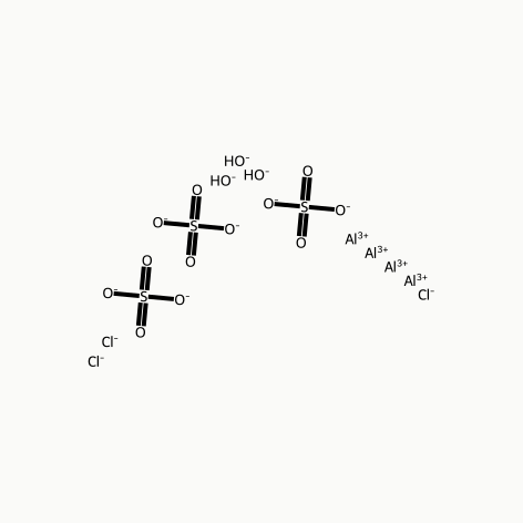 O=S(=O)([O-])[O-].O=S(=O)([O-])[O-].O=S(=O)([O-])[O-].[Al+3].[Al+3].[Al+3].[Al+3].[Cl-].[Cl-].[Cl-].[OH-].[OH-].[OH-]